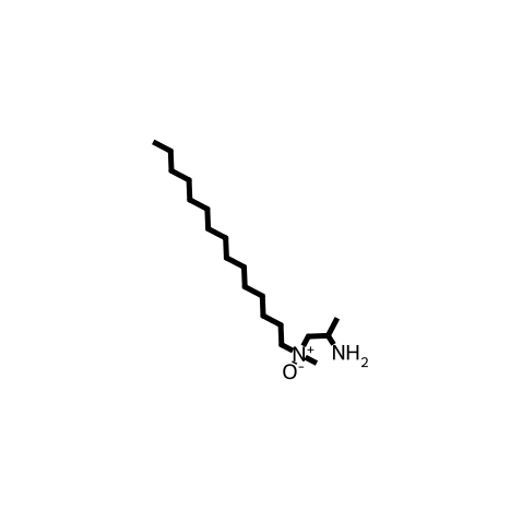 CCCCCCCCCCCCCCC[N+](C)([O-])CC(C)N